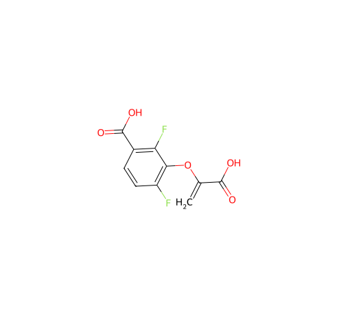 C=C(Oc1c(F)ccc(C(=O)O)c1F)C(=O)O